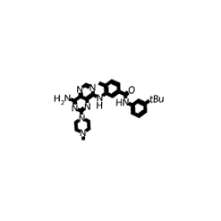 Cc1ccc(C(=O)Nc2cccc(C(C)(C)C)c2)cc1Nc1ncnc2c(N)nc(N3CCN(C)CC3)nc12